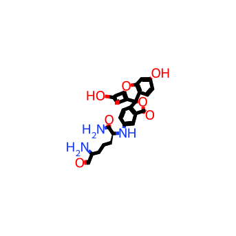 NC(=O)[C@H](CCCC(N)C=O)Nc1ccc2c(c1)C(=O)OC21c2ccc(O)cc2Oc2cc(O)ccc21